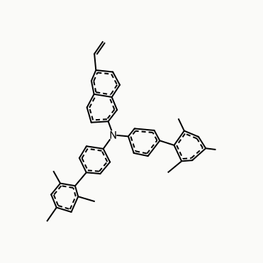 C=Cc1ccc2cc(N(c3ccc(-c4c(C)cc(C)cc4C)cc3)c3ccc(-c4c(C)cc(C)cc4C)cc3)ccc2c1